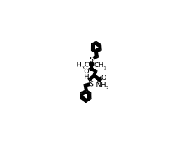 CC(C)(SCc1ccccc1)C(O)CC(CSCc1ccccc1)C(N)=O